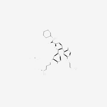 COCCOc1ccc(Cl)c(-c2ccc(C(=O)NC3CCCCC3)nc2-c2ccc(Cl)c(OCCCN(C)C)c2)c1.Cl.O=C(O)O